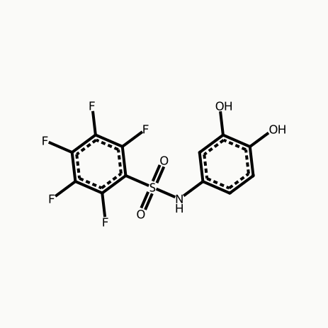 O=S(=O)(Nc1ccc(O)c(O)c1)c1c(F)c(F)c(F)c(F)c1F